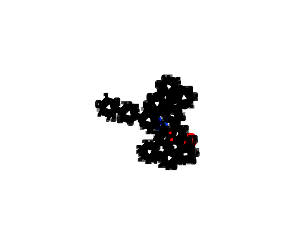 c1ccc(-c2ccc(-c3ccc(N(c4ccc5c6ccccc6c6ccccc6c5c4)c4cc5c(cc4-c4ccc6c(c4)oc4ccccc46)-c4ccccc4C54c5ccccc5-c5ccccc54)cc3)cc2)cc1